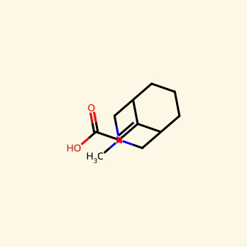 CN1CC2CCCC(C1)C2=CC(=O)O